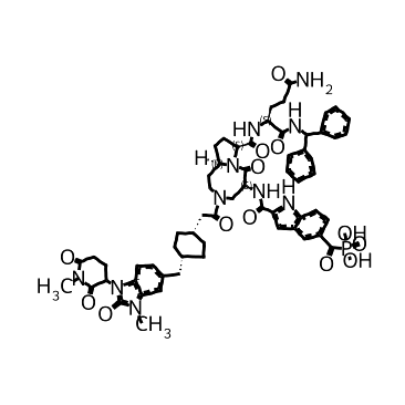 CN1C(=O)CCC(n2c(=O)n(C)c3cc(C[C@H]4CC[C@@H](CC(=O)N5CC[C@H]6CC[C@@H](C(=O)N[C@@H](CCC(N)=O)C(=O)NC(c7ccccc7)c7ccccc7)N6C(=O)[C@@H](NC(=O)c6cc7cc(C(=O)P(=O)(O)O)ccc7[nH]6)C5)CC4)ccc32)C1=O